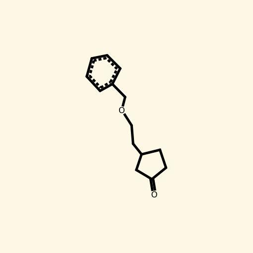 O=C1CCC(CCOCc2ccccc2)C1